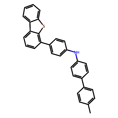 Cc1ccc(-c2ccc(Nc3ccc(-c4cccc5c4sc4ccccc45)cc3)cc2)cc1